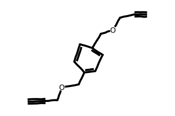 C#CCOCc1ccc(COCC#C)cc1